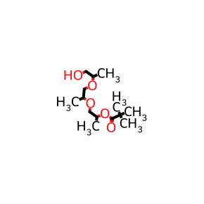 CC(CO)OCC(C)OCC(C)OC(=O)C(C)(C)C